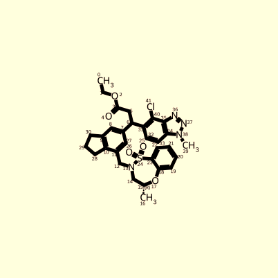 CCOC(=O)CC(c1cc2c(c(CN3C[C@@H](C)Oc4ccccc4S3(=O)=O)c1)CCC2)c1ccc2c(nnn2C)c1Cl